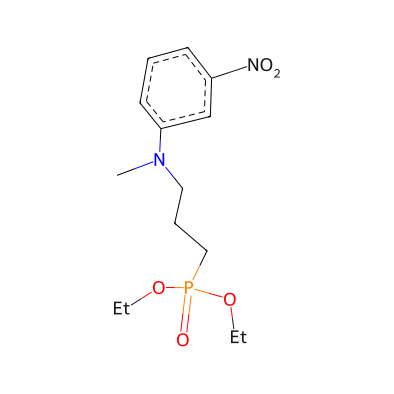 CCOP(=O)(CCCN(C)c1cccc([N+](=O)[O-])c1)OCC